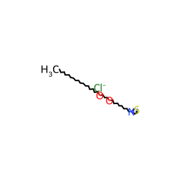 CCCCCCCCCCCCCCCCCCOCCCOCCCCCCCC[n+]1ccsc1.[Cl-]